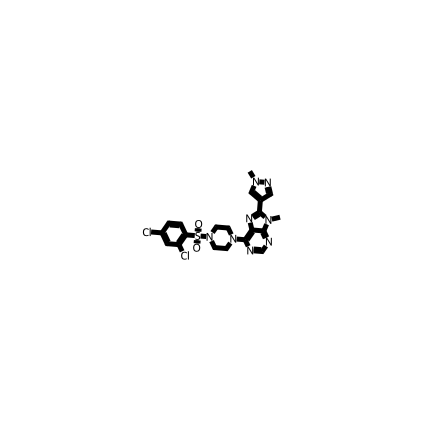 Cn1cc(-c2nc3c(N4CCN(S(=O)(=O)c5ccc(Cl)cc5Cl)CC4)ncnc3n2C)cn1